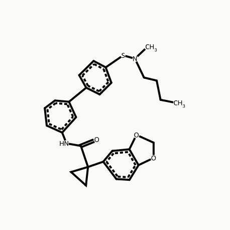 CCCCN(C)Sc1ccc(-c2cccc(NC(=O)C3(c4ccc5c(c4)OCO5)CC3)c2)cc1